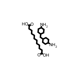 NC1CCC(CC2CCC(N)CC2)CC1.O=C(O)CCCCCCCCCCC(=O)O